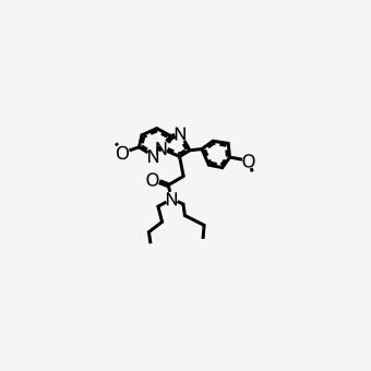 CCCCN(CCCC)C(=O)Cc1c(-c2ccc(OC)cc2)nc2ccc(OC)nn12